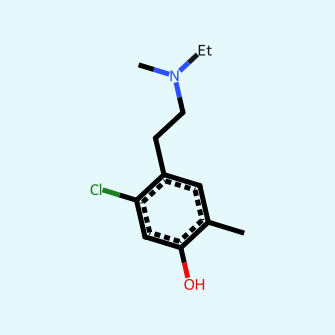 CCN(C)CCc1cc(C)c(O)cc1Cl